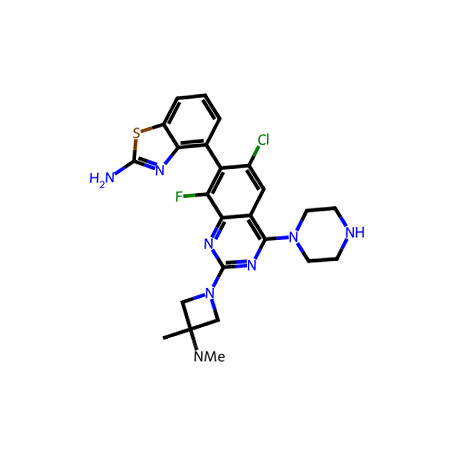 CNC1(C)CN(c2nc(N3CCNCC3)c3cc(Cl)c(-c4cccc5sc(N)nc45)c(F)c3n2)C1